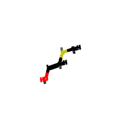 OC=[SeH]S[SeH]